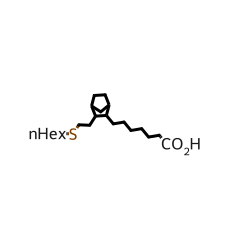 CCCCCCSCCC1C2CCC(C2)C1CCCCCCC(=O)O